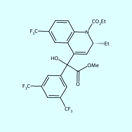 CCOC(=O)N1c2ccc(C(F)(F)F)cc2C(C(O)(C(=O)OC)c2cc(C(F)(F)F)cc(C(F)(F)F)c2)=C[C@H]1CC